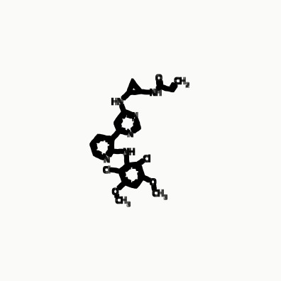 C=CC(=O)NC1CC1Nc1cc(-c2cccnc2Nc2c(Cl)c(OC)cc(OC)c2Cl)ncn1